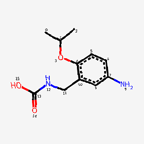 CC(C)Oc1ccc(N)cc1CNC(=O)O